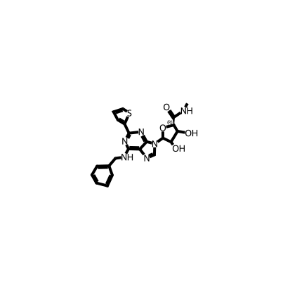 CNC(=O)[C@@H]1OC(n2cnc3c(NCc4ccccc4)nc(-c4cccs4)nc32)C(O)C1O